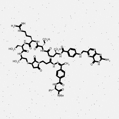 CNC(=O)[C@@H](NC(=O)c1ccc(/C(C)=N\NC(=O)CCN2C(=O)CC(SCC(NC(=O)[C@@H](CC(=O)O)NC(=O)[C@@H](CCCNC(=N)N)NC(=O)[C@H](CC(=O)O)NC(=O)CC[C@H](NC(=O)c3ccc(NCc4cnc5nc(N)[nH]c(=O)c5n4)cc3)C(=O)O)C(=O)O)C2=O)cc1)C(C)C